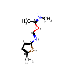 C/N=C(/C)O/C=N/c1ccc(C)s1